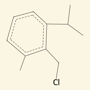 Cc1cccc(C(C)C)c1CCl